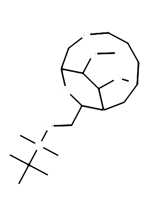 COC1C2COCCCCCC(C(CO[Si](C)(C)C(C)(C)C)O2)C1OC